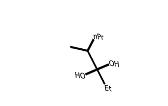 CCCC(C)C(O)(O)CC